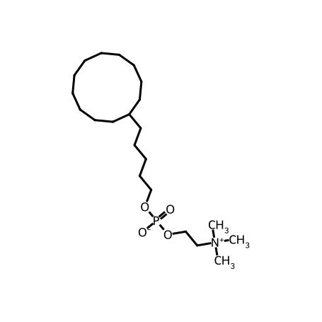 C[N+](C)(C)CCOP(=O)([O-])OCCCCCC1CCCCCCCCCCC1